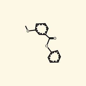 COc1cccc(C(=O)Oc2cc[c]cc2)c1